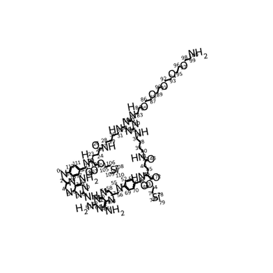 CN(Cc1cnc2nc(N)nc(N)c2n1)c1ccc(C(=O)N[C@@H](CCC(=O)NCCCCNc2nc(NCCCCNC(=O)CC[C@H](NC(=O)c3ccc(N(C)Cc4cnc5nc(N)nc(N)c5n4)cc3)C(=O)OCC[Si](C)(C)C)nc(NCCOCCOCCOCCOCCOCCN)n2)C(=O)OCC[Si](C)(C)C)cc1